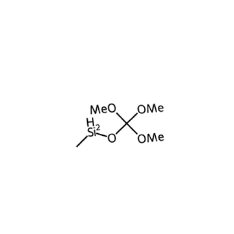 COC(OC)(OC)O[SiH2]C